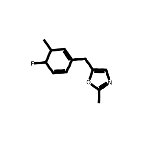 Cc1ncc(CC2=CC(C)C(F)C=C2)o1